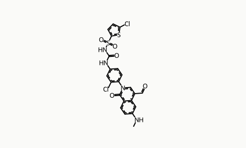 CNc1ccc2c(=O)n(-c3ccc(NC(=O)NS(=O)(=O)c4ccc(Cl)s4)cc3Cl)cc(C=O)c2c1